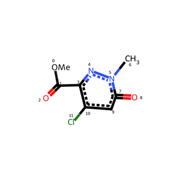 COC(=O)c1nn(C)c(=O)cc1Cl